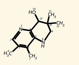 Cc1cnc2c(c1C)NCC(C)(C)C2O